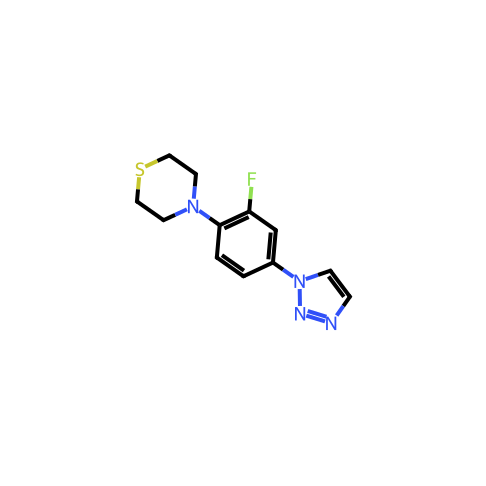 Fc1cc(-n2ccnn2)ccc1N1CCSCC1